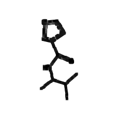 CC(C)C(C)NC(=O)c1ccoc1